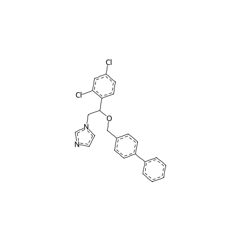 Clc1ccc(C(Cn2ccnc2)OCc2ccc(-c3ccccc3)cc2)c(Cl)c1